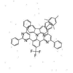 Cc1cc(C)c(-c2ccc3c(c2)c2ccccc2n3-c2c(-c3cc(-c4ccccc4)nc(-c4ccccc4)n3)cc(C(F)(F)F)cc2-c2nc(-c3ccccc3)cc(-c3ccccc3)n2)c(C)c1